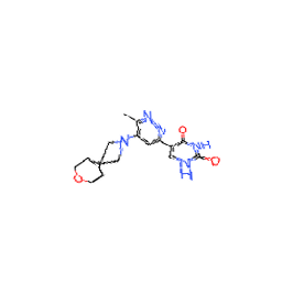 Cc1nnc(-c2c[nH]c(=O)[nH]c2=O)cc1N1CC2(CCOCC2)C1